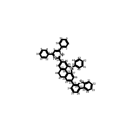 c1ccc(-c2cc(-c3ccccc3)nc(-c3cc4c5c6c(cc(-c7cccc8c7sc7ccccc78)cc6n(-c6ccccc6)c5c3)CC4)n2)cc1